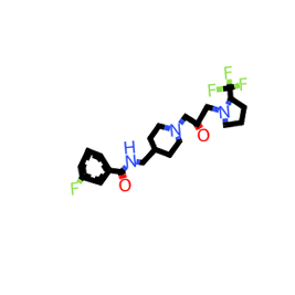 O=C(CN1CCC(CNC(=O)c2cccc(F)c2)CC1)CN1CCCC1C(F)(F)F